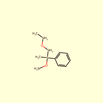 C[SiH2]O[SiH2][Si](C)(O[SiH3])c1ccccc1